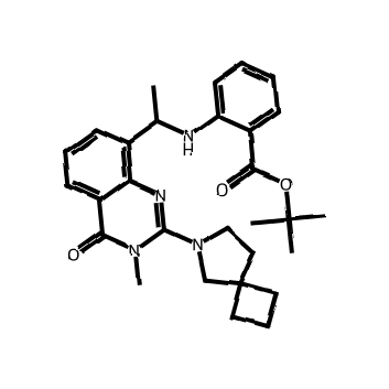 CC(Nc1ccccc1C(=O)OC(C)(C)C)c1cccc2c(=O)n(C)c(N3CCC4(CCC4)C3)nc12